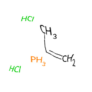 C=CC.Cl.Cl.P